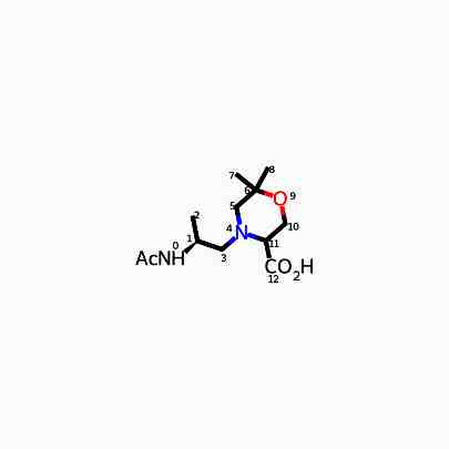 CC(=O)N[C@@H](C)CN1CC(C)(C)OCC1C(=O)O